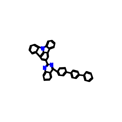 c1ccc(-c2ccc(-c3ccc(-c4nc(-c5cc6c7ccccc7n7c8ccccc8c(c5)c67)nc5ccccc45)cc3)cc2)cc1